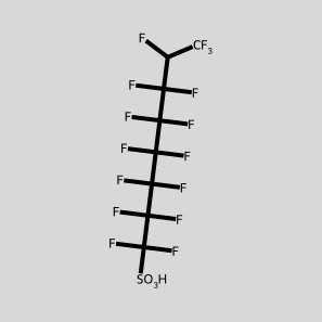 O=S(=O)(O)C(F)(F)C(F)(F)C(F)(F)C(F)(F)C(F)(F)C(F)(F)C(F)C(F)(F)F